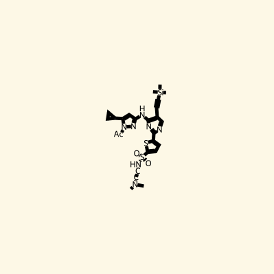 CC(=O)n1nc(Nc2nc(-c3ccc(S(=O)(=O)NCCN(C)C)s3)ncc2C#C[Si](C)(C)C)cc1C1CC1